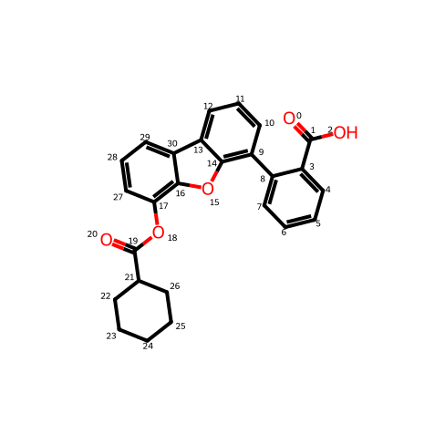 O=C(O)c1ccccc1-c1cccc2c1oc1c(OC(=O)C3CCCCC3)cccc12